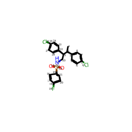 CC(c1ccc(Cl)cc1)C(CNS(=O)(=O)c1ccc(F)cc1)c1ccc(Cl)cc1